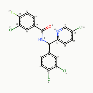 O=C(NC(c1ccc(Cl)c(Cl)c1)c1ccc(Cl)cn1)c1ccc(F)c(Cl)c1